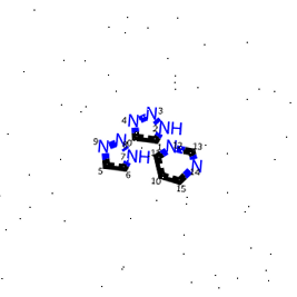 c1c[nH]nn1.c1c[nH]nn1.c1cncnc1